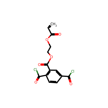 C=CC(=O)OCCOC(=O)c1cc(C(=O)Cl)ccc1C(=O)Cl